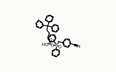 N#Cc1ccc(CS(=O)(OB(O)OCCCC(c2ccccc2)(c2ccccc2)c2ccccc2)(c2ccccc2)c2ccccc2)cc1